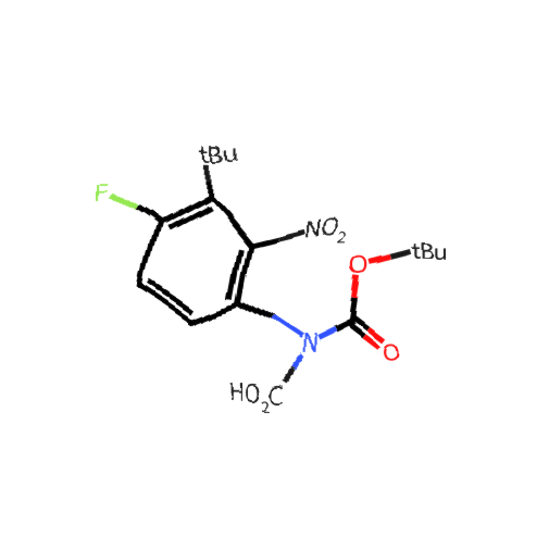 CC(C)(C)OC(=O)N(C(=O)O)c1ccc(F)c(C(C)(C)C)c1[N+](=O)[O-]